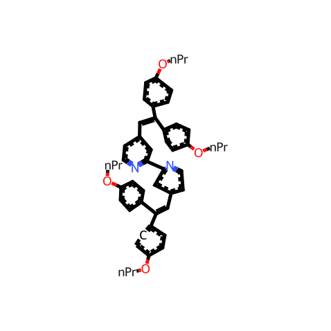 CCCOc1ccc(C(=Cc2ccnc(-c3cc(C=C(c4ccc(OCCC)cc4)c4ccc(OCCC)cc4)ccn3)c2)c2ccc(OCCC)cc2)cc1